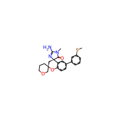 CSc1cccc(-c2ccc3c(c2)[C@]2(C[C@@]4(CCCOC4)O3)N=C(N)N(C)C2=O)c1